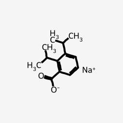 CC(C)c1cccc(C(=O)[O-])c1C(C)C.[Na+]